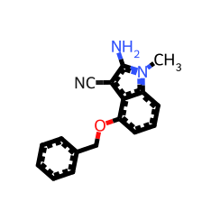 Cn1c(N)c(C#N)c2c(OCc3ccccc3)cccc21